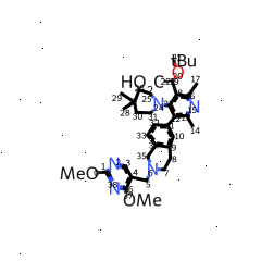 COc1ncc(CN2CCc3cc(-c4c(C)nc(C)c([C@H](OC(C)(C)C)C(=O)O)c4N4CCC(C)(C)CC4)ccc3C2)c(OC)n1